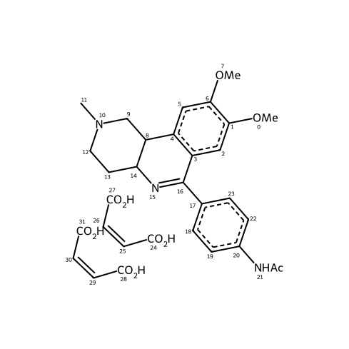 COc1cc2c(cc1OC)C1CN(C)CCC1N=C2c1ccc(NC(C)=O)cc1.O=C(O)/C=C\C(=O)O.O=C(O)/C=C\C(=O)O